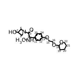 CN[C@H](C(=O)N1CC(O)C1)c1ccc(OCCOC2CCCCO2)cc1